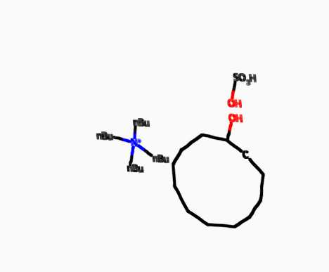 CCCC[N+](CCCC)(CCCC)CCCC.O=S(=O)(O)O.OC1CCCCCCCCCCC1